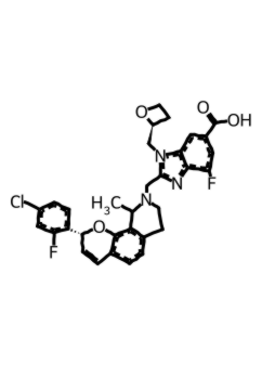 CC1c2c(ccc3c2O[C@@H](c2ccc(Cl)cc2F)C=C3)CCN1Cc1nc2c(F)cc(C(=O)O)cc2n1C[C@@H]1CCO1